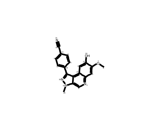 COc1cc2ncc3c(c(-c4ccc(C#N)cc4)nn3C)c2cc1O